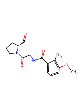 COc1cccc(C(=O)NCC(=O)N2CCC[C@H]2C=O)c1C